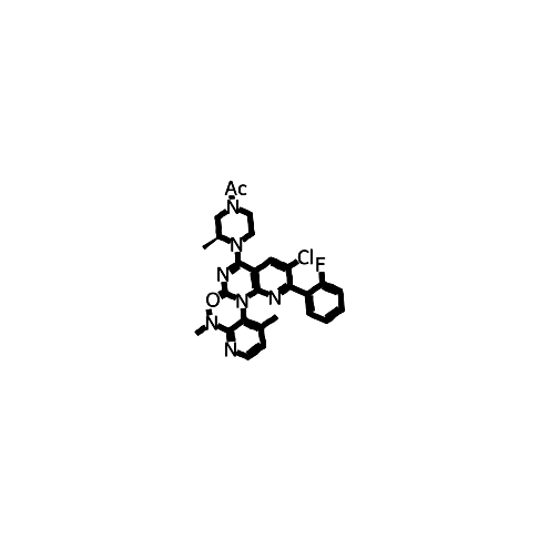 CC(=O)N1CCN(c2nc(=O)n(-c3c(C)ccnc3N(C)C)c3nc(-c4ccccc4F)c(Cl)cc23)[C@@H](C)C1